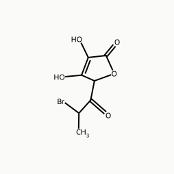 CC(Br)C(=O)C1OC(=O)C(O)=C1O